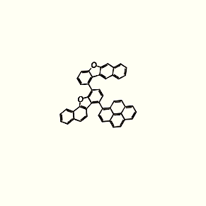 c1ccc2cc3c(cc2c1)oc1cccc(-c2ccc(-c4ccc5ccc6cccc7ccc4c5c67)c4c2oc2c5ccccc5ccc24)c13